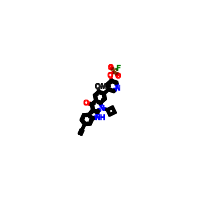 C#Cc1ccc2c(c1)[nH]c1c2c(=O)c2cc(OC)c(-c3cncc(OS(=O)(=O)F)c3)cc2n1C1CCC1